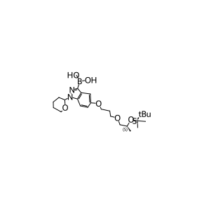 C[C@@H](COCCCOc1ccc2c(c1)c(B(O)O)nn2C1CCCCO1)O[Si](C)(C)C(C)(C)C